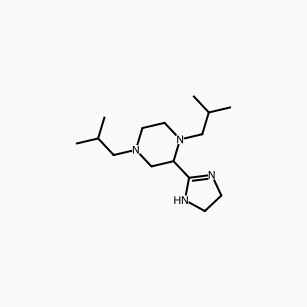 CC(C)CN1CCN(CC(C)C)C(C2=NCCN2)C1